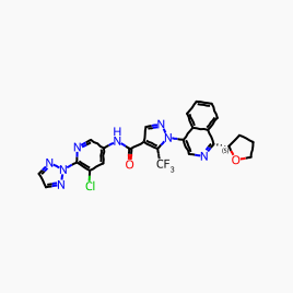 O=C(Nc1cnc(-n2nccn2)c(Cl)c1)c1cnn(-c2cnc([C@@H]3CCCO3)c3ccccc23)c1C(F)(F)F